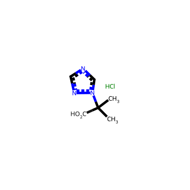 CC(C)(C(=O)O)n1cncn1.Cl